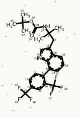 CC(C)(Cc1c[nH]c2c(-c3ccc(C(F)(F)F)cc3C(F)(F)F)cccc12)NC(=O)OC(C)(C)C